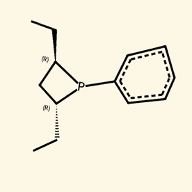 CC[C@@H]1C[C@@H](CC)P1c1ccccc1